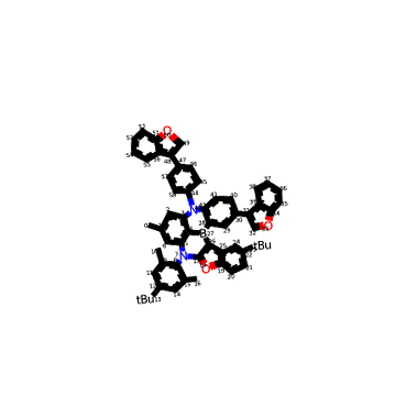 Cc1cc2c3c(c1)N(c1c(C)cc(C(C)(C)C)cc1C)c1oc4ccc(C(C)(C)C)cc4c1B3c1cc(-c3coc4ccccc34)ccc1N2c1ccc(-c2coc3ccccc23)cc1